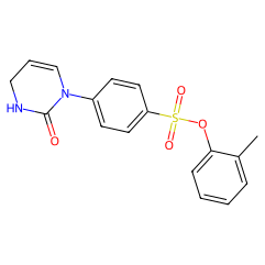 Cc1ccccc1OS(=O)(=O)c1ccc(N2C=CCNC2=O)cc1